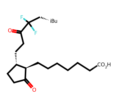 CC[C@@H](C)CC(F)(F)C(=O)CC[C@H]1CCC(=O)[C@@H]1CCCCCCC(=O)O